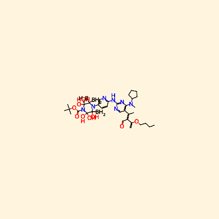 BC1(B)N(c2ccc(Nc3ncc(/C(C)=C(\C=O)C(=C)OCCCC)c(N(C)C4CCCC4)n3)nc2)C(B)(O)C(O)(O)N(C(=O)OC(C)(C)C)C1(O)O